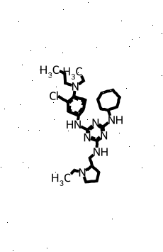 CCCN(CC)c1ccc(Nc2nc(NCC3CCCN3CC)nc(NC3CCCCCC3)n2)cc1Cl